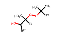 CCCC(O)C(CC)(OOC(C)(C)CCC)C(=O)O